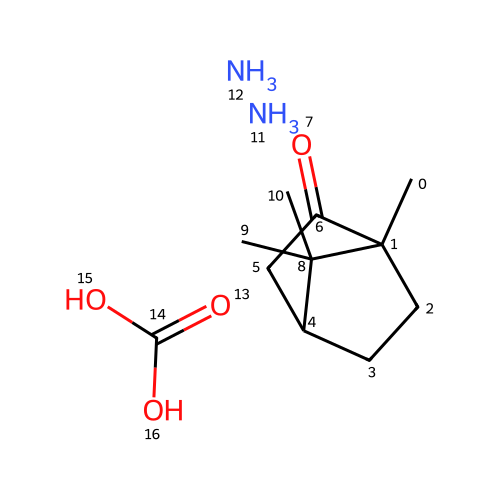 CC12CCC(CC1=O)C2(C)C.N.N.O=C(O)O